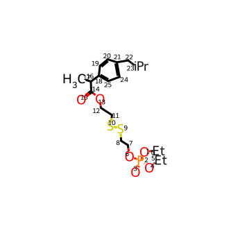 CCOP(=O)(OCC)OCCSSCCOC(=O)C(C)c1ccc(CC(C)C)cc1